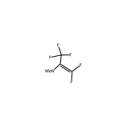 CNC(=C(F)F)C(F)(F)F